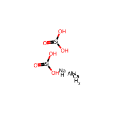 O=[Si](O)O.O=[Si](O)O.[AlH3].[CaH2].[NaH]